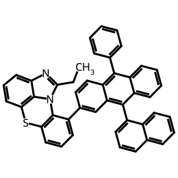 CCc1nc2cccc3c2n1-c1c(cccc1-c1ccc2c(-c4ccccc4)c4ccccc4c(-c4cccc5ccccc45)c2c1)S3